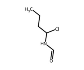 CCCC(Cl)NC=O